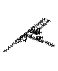 CCCCCCCCCCCCCCOCC(O)CNCCCN(CCCNCC(O)COCCCCCCCCCCCC)CCCN(CCCNCC(O)COCCCCCCCCCCCC)CCCNCC(O)COCCCCCCCCCCCC